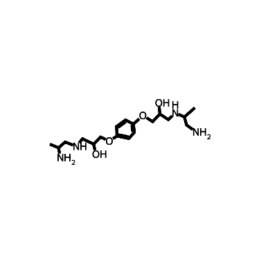 CC(N)CNCC(O)COc1ccc(OCC(O)CNC(C)CN)cc1